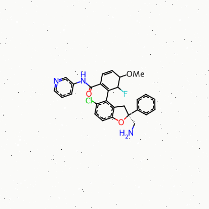 COC1C=CC(C(=O)Nc2cccnc2)=C(c2c(Cl)ccc3c2C[C@@](CN)(c2ccccc2)O3)C1F